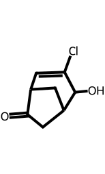 O=C1CC2CC1C=C(Cl)C2O